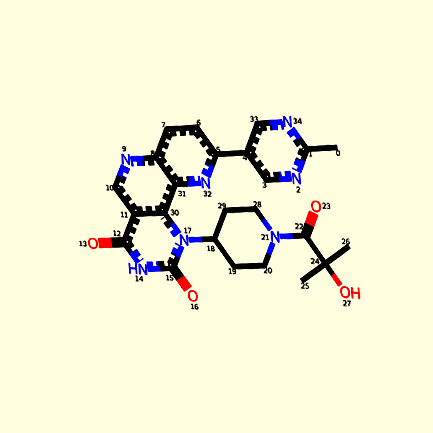 Cc1ncc(-c2ccc3ncc4c(=O)[nH]c(=O)n(C5CCN(C(=O)C(C)(C)O)CC5)c4c3n2)cn1